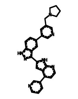 c1cncc(-c2ccnc3[nH]c(-c4n[nH]c5ccc(-c6cncc(CN7CCCC7)c6)cc45)cc23)c1